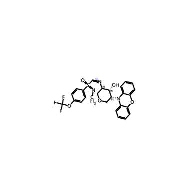 CN=S(=O)(/C=N\[C@@H]1COC[C@@H](N2c3ccccc3Oc3ccccc32)[C@H]1O)c1ccc(OC(F)(F)F)cc1